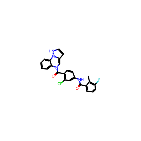 Cc1c(F)cccc1C(=O)Nc1ccc(C(=O)N2C=C3C=CNN3c3ccccc32)c(Cl)c1